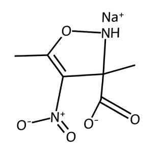 CC1=C([N+](=O)[O-])C(C)(C(=O)[O-])NO1.[Na+]